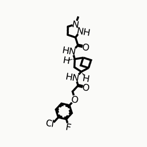 CN1CCC(C(=O)N[C@@H]2C[C@H](NC(=O)COc3ccc(Cl)c(F)c3)C3CC2C3)N1